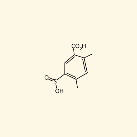 Cc1cc(C)c(S(=O)O)cc1C(=O)O